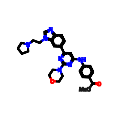 COC(=O)c1ccc(Nc2cc(-c3ccc4ncn(CCN5CCCC5)c4c3)nc(N3CCOCC3)n2)cc1